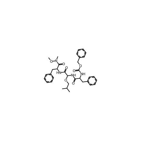 CON(C)C(=O)C(Cc1ccccc1)NC(=O)C(NC(=O)C(Cc1ccccc1)NC(=O)OCc1ccccc1)OCC(C)C